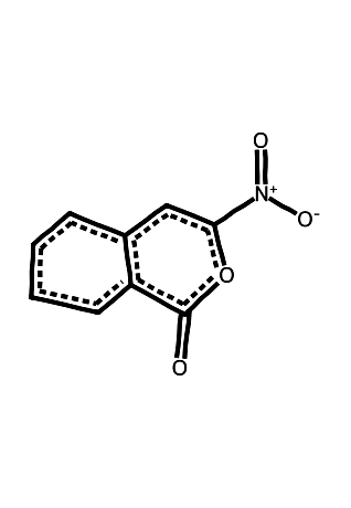 O=c1oc([N+](=O)[O-])cc2ccccc12